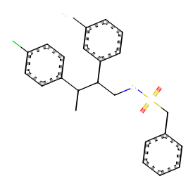 CC(c1ccc(Cl)cc1)C(CNS(=O)(=O)Cc1ccccc1)c1cccc(C#N)c1